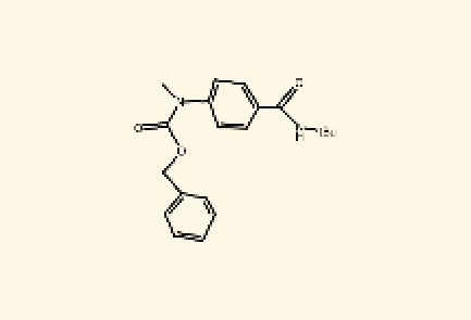 CN(C(=O)OCc1ccccc1)c1ccc(C(=O)NC(C)(C)C)cc1